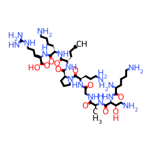 C#CCC[C@H](NC(=O)[C@@H]1CCCN1C(=O)[C@@H](CCCN)NC(=O)CNC(=O)[C@H](C)NC(=O)[C@@H](NC(=O)[C@@H](N)CCCCN)[C@@H](O)CN)C(=O)N[C@@H](CCCCN)C(=O)N/C(=C\CCNC(=N)N)C(=O)O